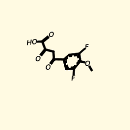 COc1c(F)cc(C(=O)CC(=O)C(=O)O)cc1F